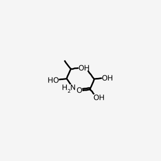 CC(O)C(=O)O.CC(O)C(N)O